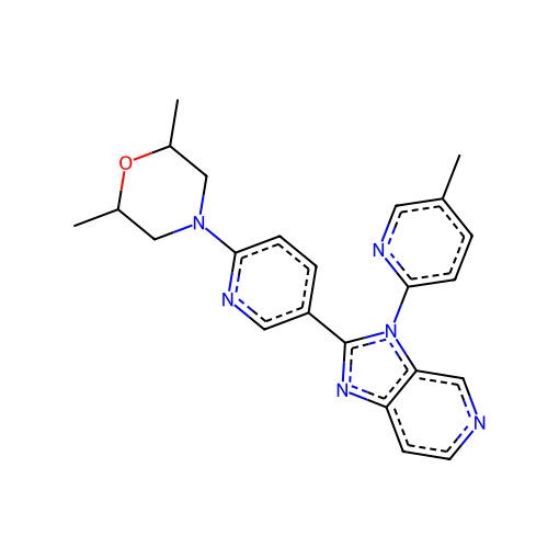 Cc1ccc(-n2c(-c3ccc(N4CC(C)OC(C)C4)nc3)nc3ccncc32)nc1